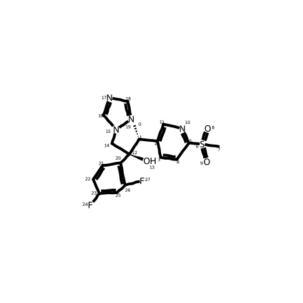 C[C@H](c1ccc(S(C)(=O)=O)nc1)[C@@](O)(Cn1cncn1)c1ccc(F)cc1F